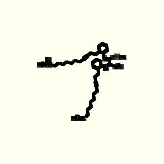 CCCCCCCCCCCCCCCCCC#CCCc1ccccc1N=C(CCCC)C(CCCCCC)=Nc1ccccc1CCC#CCCCCCCCCCCCCCCCCC.[Ni]